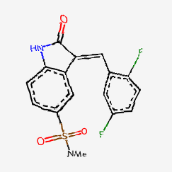 CNS(=O)(=O)c1ccc2c(c1)C(=Cc1cc(F)ccc1F)C(=O)N2